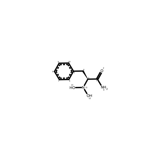 NC(=O)[C@H](Cc1ccccc1)N(O)O